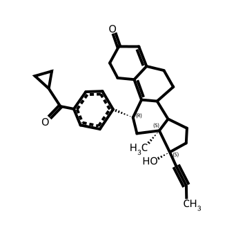 CC#C[C@]1(O)CCC2C3CCC4=CC(=O)CCC4=C3[C@@H](c3ccc(C(=O)C4CC4)cc3)C[C@@]21C